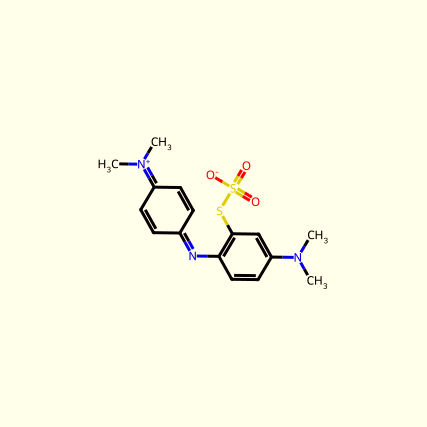 CN(C)c1ccc(N=C2C=CC(=[N+](C)C)C=C2)c(SS(=O)(=O)[O-])c1